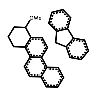 COC1CCCc2c1ccc1c2ccc2ccccc21.c1ccc2c(c1)Cc1ccccc1-2